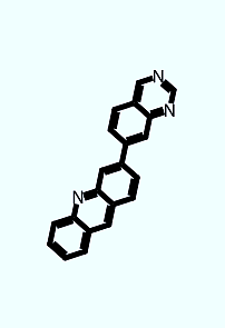 c1ccc2nc3cc(-c4ccc5cncnc5c4)ccc3cc2c1